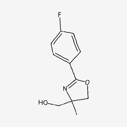 CC1(CO)COC(c2ccc(F)cc2)=N1